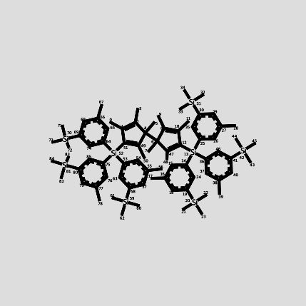 CC1=C(C)C(C)(C2(C)C(C)=C(C)C([Si](c3cc(C)cc([Si](C)(C)C)c3)(c3cc(C)cc([Si](C)(C)C)c3)c3cc(C)cc([Si](C)(C)C)c3)=C2C)C(C)=C1[Si](c1cc(C)cc([Si](C)(C)C)c1)(c1cc(C)cc([Si](C)(C)C)c1)c1cc(C)cc([Si](C)(C)C)c1